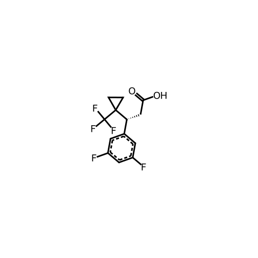 O=C(O)C[C@H](c1cc(F)cc(F)c1)C1(C(F)(F)F)CC1